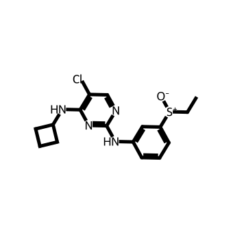 CC[S+]([O-])c1cccc(Nc2ncc(Cl)c(NC3CCC3)n2)c1